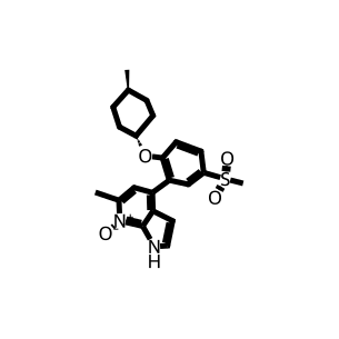 Cc1cc(-c2cc(S(C)(=O)=O)ccc2O[C@H]2CC[C@H](C)CC2)c2cc[nH]c2[n+]1[O-]